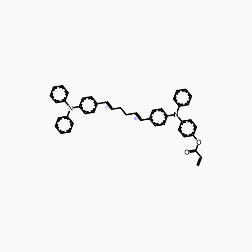 C=CC(=O)Oc1ccc(N(c2ccccc2)c2ccc(/C=C/CC/C=C/c3ccc(N(c4ccccc4)c4ccccc4)cc3)cc2)cc1